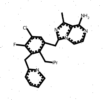 Cc1nc(Cc2cc(Cl)c(F)c(Cc3ccccn3)c2CC(C)C)n2ccnc(N)c12